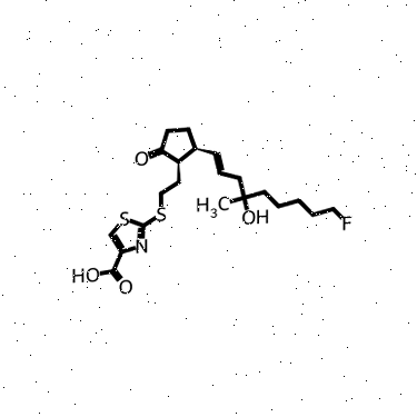 CC(O)(C/C=C/[C@@H]1CCC(=O)[C@@H]1CCSc1nc(C(=O)O)cs1)CCCCCF